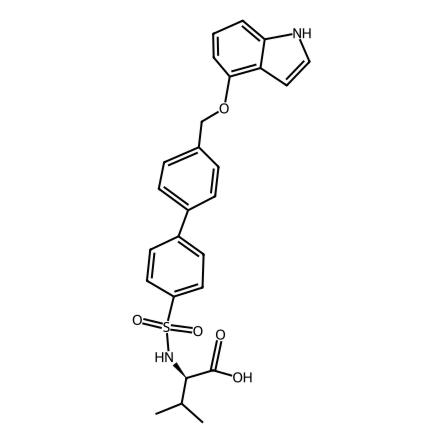 CC(C)[C@@H](NS(=O)(=O)c1ccc(-c2ccc(COc3cccc4[nH]ccc34)cc2)cc1)C(=O)O